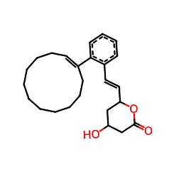 O=C1CC(O)CC(/C=C/c2ccccc2/C2=C/CCCCCCCCCC2)O1